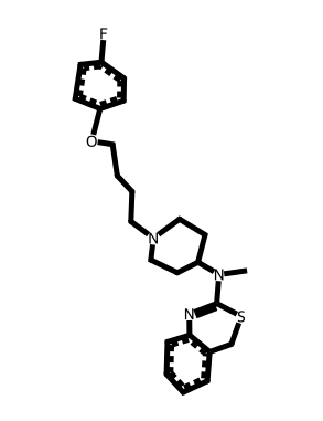 CN(C1=Nc2ccccc2CS1)C1CCN(CCCCOc2ccc(F)cc2)CC1